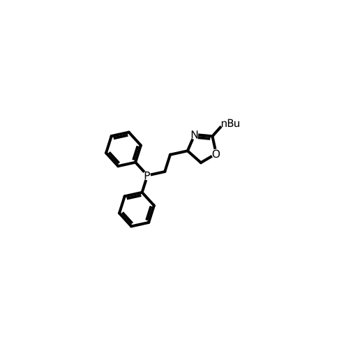 CCCCC1=NC(CCP(c2ccccc2)c2ccccc2)CO1